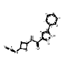 [N-]=[N+]=NC1CC(NC(=O)c2cc(-c3ccccc3)no2)C1